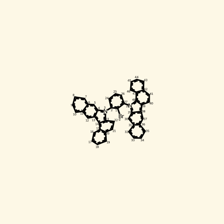 Brc1c(-n2c3cc4ccccc4cc3c3c4ccccc4ccc32)cccc1-n1c2cc3ccccc3cc2c2ccc3ccccc3c21